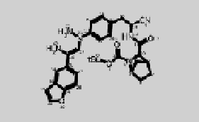 CC(C)(C)OC(=O)N1C2CCC(C2)C1C(=O)N[C@H](C#N)Cc1ccc(N(N)/C=C(\N)c2ccc3occc3c2)cc1